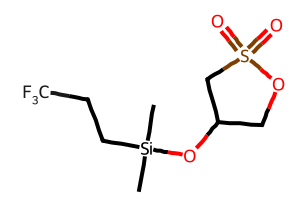 C[Si](C)(CCC(F)(F)F)OC1COS(=O)(=O)C1